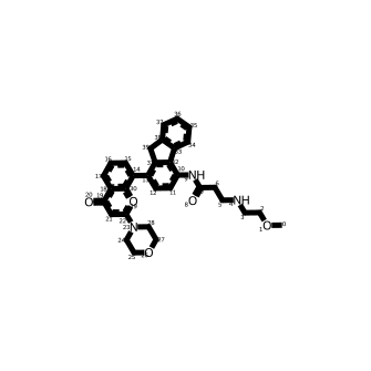 COCCNCCC(=O)Nc1ccc(-c2cccc3c(=O)cc(N4CCOCC4)oc23)c2c1-c1ccccc1C2